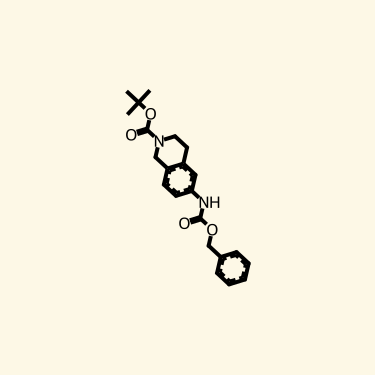 CC(C)(C)OC(=O)N1CCc2cc(NC(=O)OCc3ccccc3)ccc2C1